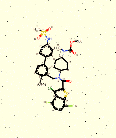 COc1ccc(-c2ccc(NS(C)(=O)=O)cc2)cc1CN(C(=O)c1sc2c(F)ccc(F)c2c1Cl)[C@H]1CC[C@H](N(C)C(=O)OC(C)(C)C)CC1